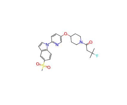 CC(C)(F)CC(=O)N1CCC(Oc2ccc(-n3ccc4cc(S(C)(=O)=O)ccc43)nc2)CC1